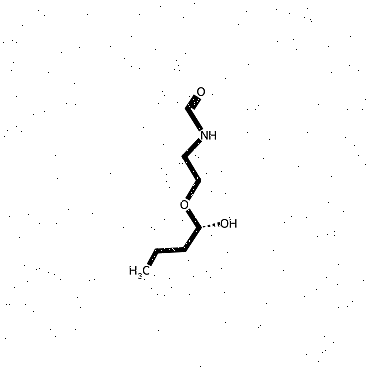 CCC[C@@H](O)OCCNC=O